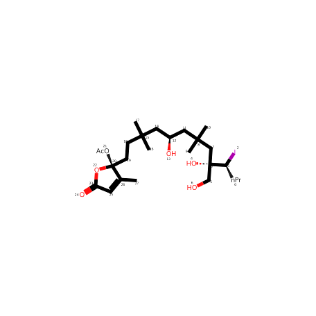 CCC[C@H](I)[C@@](O)(CO)CC(C)(C)C[C@@H](O)CC(C)(C)CC[C@@]1(OC(C)=O)OC(=O)C=C1C